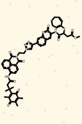 COC(=O)CC(SC1=CCCCC=C1)C(=O)Nc1cc2ccc(-c3cn(CCN4C(=O)c5cccc6c(NC(=O)CC(C)(C)C7=C(C)C(=O)C(C)=C(C)C7=O)ccc(c56)C4=O)nn3)cc2oc1=O